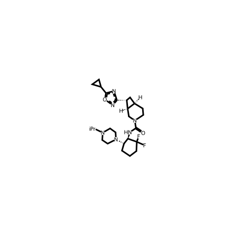 CC(C)N1CCN([C@H]2CCCC(F)(F)[C@@H]2NC(=O)N2CC[C@@H]3C[C@@H](c4noc(C5CC5)n4)[C@@H]3C2)CC1